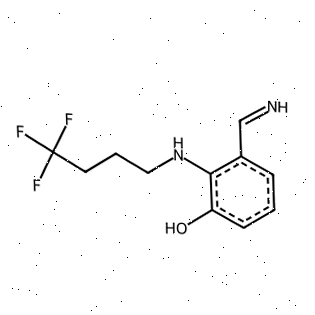 N=Cc1cccc(O)c1NCCCC(F)(F)F